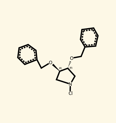 ClN1C[C@@H](OCc2ccccc2)[C@H](OCc2ccccc2)C1